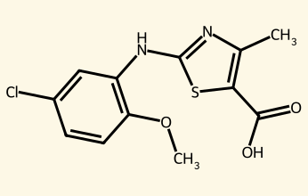 COc1ccc(Cl)cc1Nc1nc(C)c(C(=O)O)s1